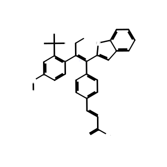 CC/C(=C(/c1ccc(/C=C/C(=O)O)cc1)c1cc2ccccc2[nH]1)c1ccc(OC)cc1C(F)(F)F